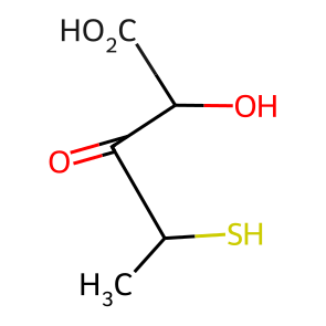 CC(S)C(=O)C(O)C(=O)O